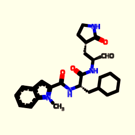 Cn1c(C(=O)N[C@@H](CC2CCCCC2)C(=O)N[C@H](C=O)C[C@@H]2CCNC2=O)cc2ccccc21